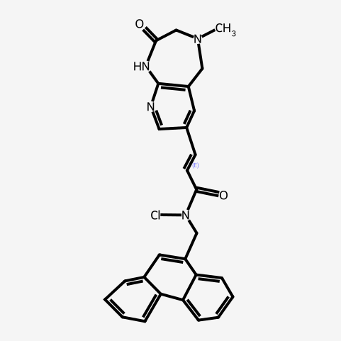 CN1CC(=O)Nc2ncc(/C=C/C(=O)N(Cl)Cc3cc4ccccc4c4ccccc34)cc2C1